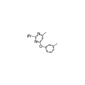 Cc1cccc(Oc2cc(C)nc(C(C)C)n2)c1